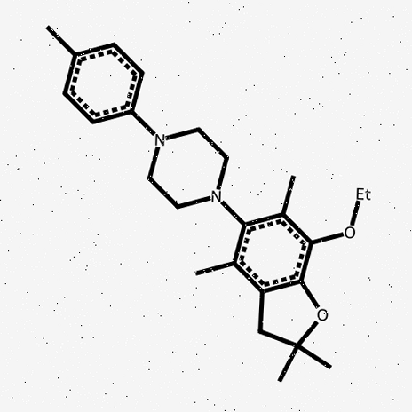 CCOc1c(C)c(N2CCN(c3ccc(C)cc3)CC2)c(C)c2c1OC(C)(C)C2